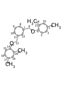 Cc1ccc(OCc2cccc(COc3ccc(C)cc3C)c2)c(C)c1